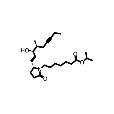 CCC#CC[C@H](C)[C@H](O)C=C[C@H]1CCC(=O)N1CCCCCCC(=O)OC(C)C